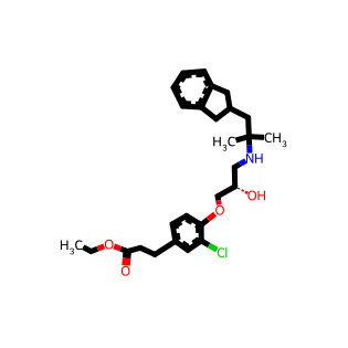 CCOC(=O)CCc1ccc(OC[C@@H](O)CNC(C)(C)CC2Cc3ccccc3C2)c(Cl)c1